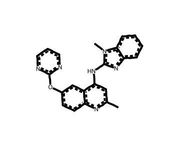 Cc1cc(Nc2nc3ccccc3n2C)c2cc(Oc3ncccn3)ccc2n1